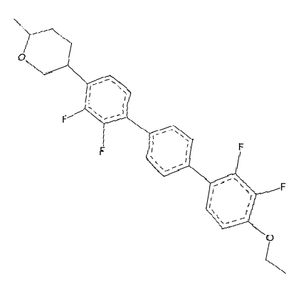 CCOc1ccc(-c2ccc(-c3ccc(C4CCC(C)OC4)c(F)c3F)cc2)c(F)c1F